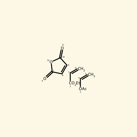 C=CC(=O)OCC.C=COC(C)=O.O=C1C=CC(=O)O1